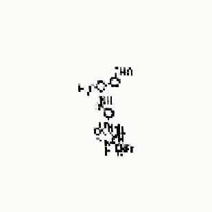 CCc1nc2c(cnn2CC)c(NC2CCOCC2)c1CNC(=O)c1cccc(C(=O)NCc2cc(-c3cccc(C=O)c3)ccc2C)c1